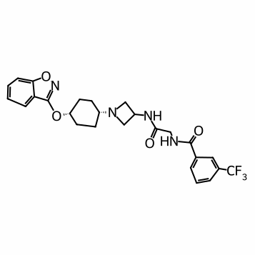 O=C(CNC(=O)c1cccc(C(F)(F)F)c1)NC1CN([C@H]2CC[C@@H](Oc3noc4ccccc34)CC2)C1